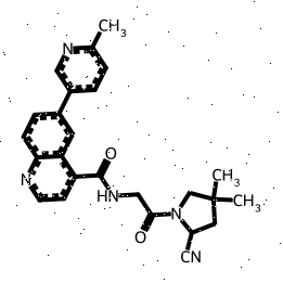 Cc1ccc(-c2ccc3nccc(C(=O)NCC(=O)N4CC(C)(C)CC4C#N)c3c2)cn1